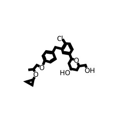 CC(COc1ccc(Cc2cc(C3CC(O)CC(CO)O3)ccc2Cl)cc1)OC1CC1